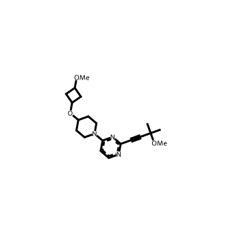 COC1CC(OC2CCN(c3ccnc(C#CC(C)(C)OC)n3)CC2)C1